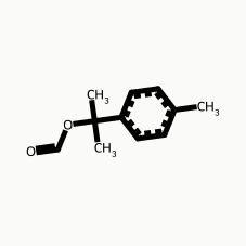 Cc1ccc(C(C)(C)OC=O)cc1